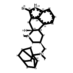 CN1C[C@H](CN(C)C23CC4CC(CC(C4)C2)C3)CC2c3cccc4[nH]c(Br)c(c34)C[C@H]21